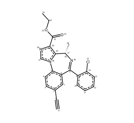 C#Cc1ccc2c(c1)C(c1ccccc1Cl)=N[C@@H](C)c1c(C(=O)OCC)ncn1-2